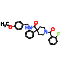 COc1ccc(CNC(=O)C2(c3ccccc3)CCN(C(=O)c3ccccc3F)CC2)cc1